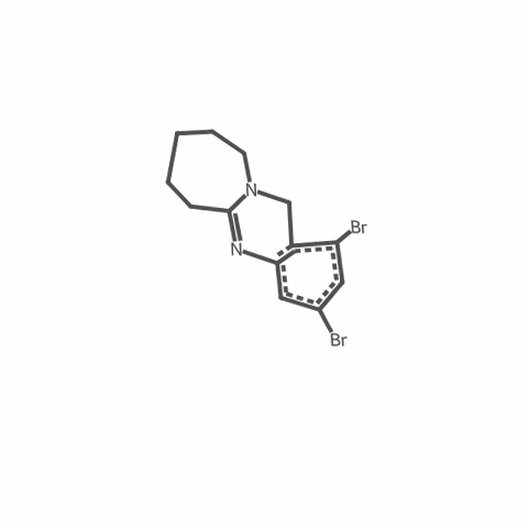 Brc1cc(Br)c2c(c1)N=C1CCCCCN1C2